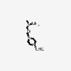 CN(N)CN=CN1CCN(C=O)CC1